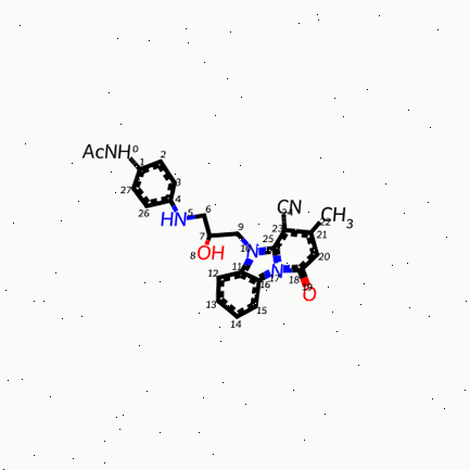 CC(=O)Nc1ccc(NCC(O)Cn2c3ccccc3n3c(=O)cc(C)c(C#N)c23)cc1